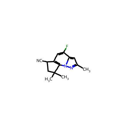 Cc1cc2c(F)cc3c(n2n1)C(C)(C)CC3C#N